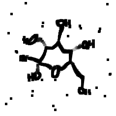 OC[C@H]1O[C@@](O)(Br)[C@H](O)[C@@H](O)[C@@H]1O